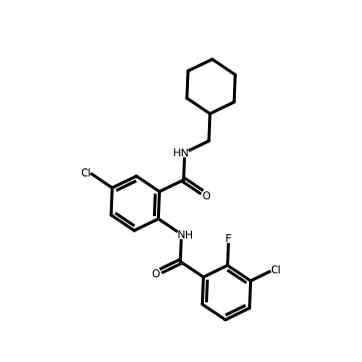 O=C(NCC1CCCCC1)c1cc(Cl)ccc1NC(=O)c1cccc(Cl)c1F